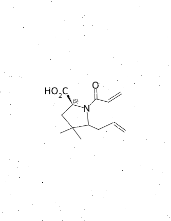 C=CCC1N(C(=O)C=C)[C@H](C(=O)O)CC1(C)C